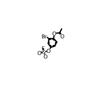 CC(=O)Oc1ccc(OS(=O)(=O)F)cc1Br